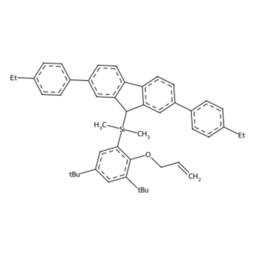 C=CCOc1c(C(C)(C)C)cc(C(C)(C)C)cc1[Si](C)(C)C1c2cc(-c3ccc(CC)cc3)ccc2-c2ccc(-c3ccc(CC)cc3)cc21